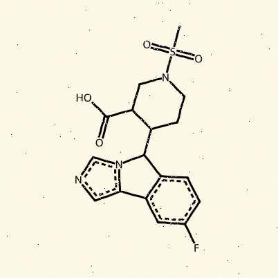 CS(=O)(=O)N1CCC(C2c3ccc(F)cc3-c3cncn32)C(C(=O)O)C1